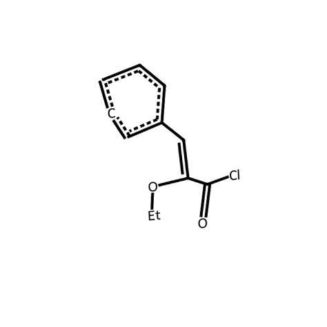 CCOC(=Cc1ccccc1)C(=O)Cl